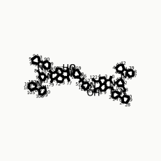 C=C1c2ccc3c4c(ccc(c24)C(=C)N1c1cc(Cn2c4ccccc4c4ccccc42)cc(-n2c4ccccc4c4ccccc42)c1)C(=C)N(c1cc(C(C)(C)c2ccc(O)c(N4C(=C)c5ccc6c7c(ccc(c57)C4=C)C(=C)N(c4cc(Cn5c7ccccc7c7ccccc75)cc(-n5c7ccccc7c7ccccc75)c4)C6=C)c2)ccc1O)C3=C